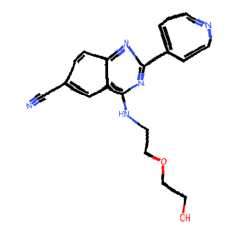 N#Cc1ccc2nc(-c3ccncc3)nc(NCCOCCO)c2c1